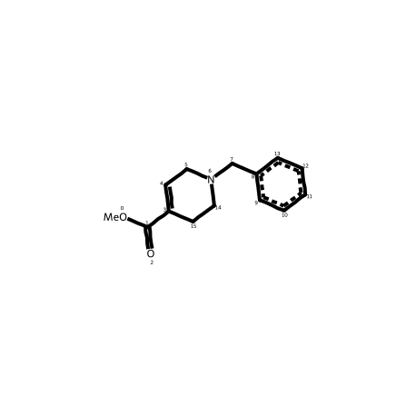 COC(=O)C1=CCN(Cc2ccccc2)CC1